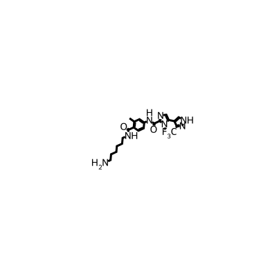 Cc1cc(NC(=O)c2ncc(-c3c[nH]nc3C(F)(F)F)n2C)ccc1C(=O)NCCCCCCN